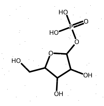 O=P(O)(O)OC1OC(CO)C(O)C1O